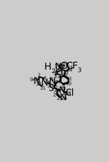 CN1CCN(c2nc(-c3cccc(C(CC(F)(F)F)S(N)(=O)=O)c3F)c(-c3ccnc(Cl)n3)s2)CC1